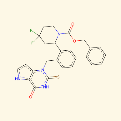 O=C(OCc1ccccc1)N1CCC(F)(F)CC1c1ccccc1Cn1c(=S)[nH]c(=O)c2[nH]ccc21